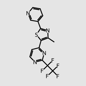 Cc1nc(-c2cccnc2)sc1-c1ccnc(C(F)(F)C(F)(F)F)n1